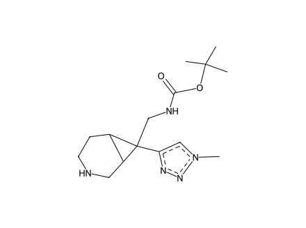 Cn1cc(C2(CNC(=O)OC(C)(C)C)C3CCNCC32)nn1